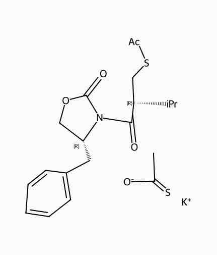 CC(=O)SC[C@@H](C(=O)N1C(=O)OC[C@H]1Cc1ccccc1)C(C)C.CC([O-])=S.[K+]